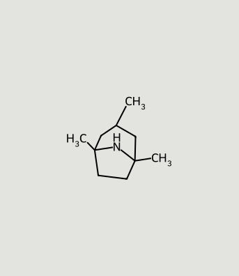 CC1CC2(C)CCC(C)(C1)N2